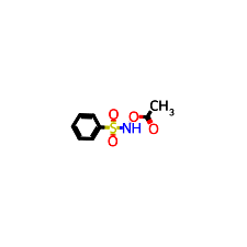 CC(=O)ONS(=O)(=O)c1ccccc1